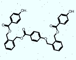 O=C(OCc1ccccc1COC(=O)c1ccc(OCc2ccccc2COC(=O)c2ccc(O)cc2)cc1)c1ccc(O)cc1